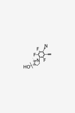 C#Cc1c(F)c(N2CC[C@H](C(C)(C)O)[C@@H]2C)c(F)c(F)c1C#N